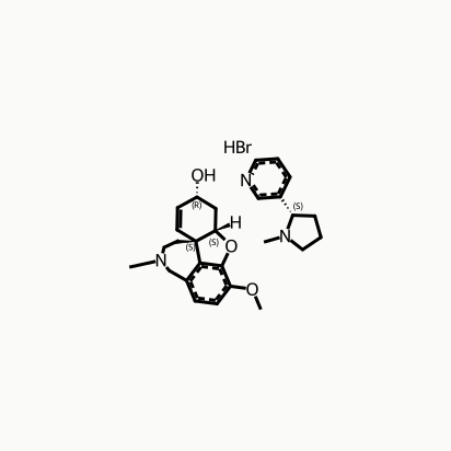 Br.CN1CCC[C@H]1c1cccnc1.COc1ccc2c3c1O[C@H]1C[C@@H](O)C=C[C@@]31CCN(C)C2